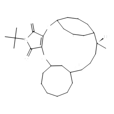 C[C@@H]1CCC[C@H]2CCCCCCC(C2)SC2=C(SC3CCCC1CCC3)C(=O)N(C(C)(C)C)C2=O